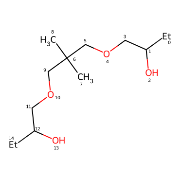 CCC(O)COCC(C)(C)COCC(O)CC